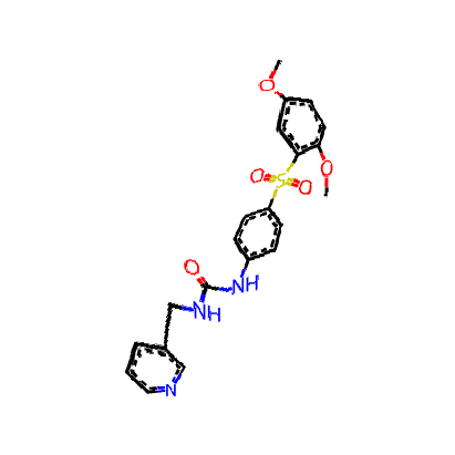 COc1ccc(OC)c(S(=O)(=O)c2ccc(NC(=O)NCc3cccnc3)cc2)c1